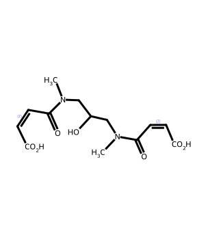 CN(CC(O)CN(C)C(=O)/C=C\C(=O)O)C(=O)/C=C\C(=O)O